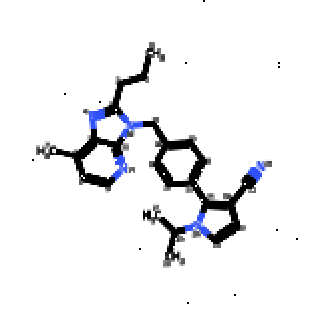 CCCc1nc2c(C)ccnc2n1Cc1ccc(-c2c(C#N)ccn2C(C)C)cc1